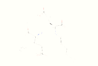 CCCCCN[C@@H](CCC(=O)O)C(=O)O.N[C@@H](CCC(=O)[O-])C(=O)[O-].[Na+].[Na+]